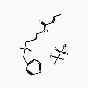 CC=CC(=O)NCCC[N+](C)(C)Cc1ccccc1.O=S(=O)(O)C(F)(F)F